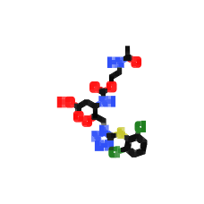 CC(=O)NCCOC(=O)NC(CC(=O)O)C(=O)Cn1nnnc1Sc1c(Cl)cccc1Cl